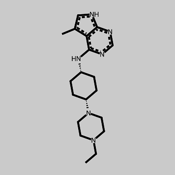 CCN1CCN([C@H]2CC[C@@H](Nc3ncnc4[nH]cc(C)c34)CC2)CC1